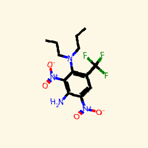 CCCN(CCC)c1c(C(F)(F)F)cc([N+](=O)[O-])c(N)c1[N+](=O)[O-]